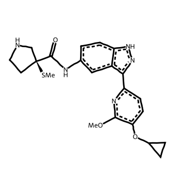 COc1nc(-c2n[nH]c3ccc(NC(=O)[C@]4(SC)CCNC4)cc23)ccc1OC1CC1